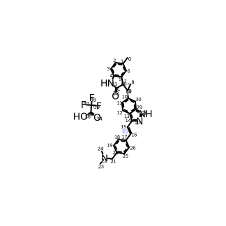 Cc1ccc2c(c1)[C@]1(C[C@H]1c1ccc3c(/C=C/c4ccc(CN(C)C)cc4)n[nH]c3c1)C(=O)N2.O=C(O)C(F)(F)F